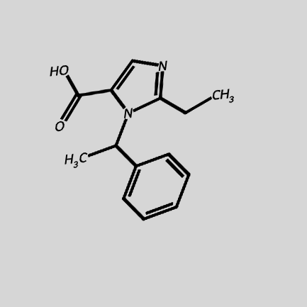 CCc1ncc(C(=O)O)n1C(C)c1ccccc1